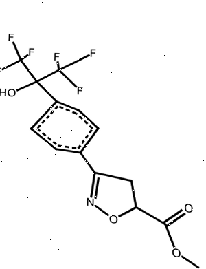 COC(=O)C1CC(c2ccc(C(O)(C(F)(F)F)C(F)(F)F)cc2)=NO1